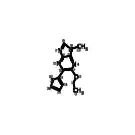 CCOc1nc2c(ncn2C)nc1-c1cccs1